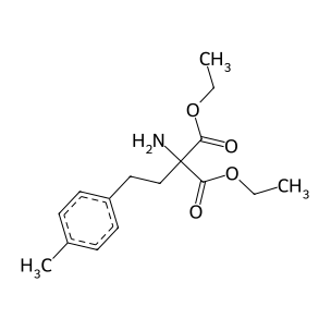 CCOC(=O)C(N)(CCc1ccc(C)cc1)C(=O)OCC